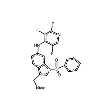 CNCc1cn(S(=O)(=O)c2cccnc2)c2cc(Nc3c(F)cnc(F)c3F)ccc12